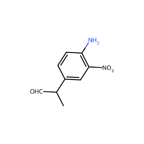 CC(C=O)c1ccc(N)c([N+](=O)[O-])c1